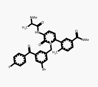 CNC(=O)c1ccc(C)c(-c2ccc(NC(=O)C(C)NC)c(=O)n2Cc2cc(C(=O)c3ccc(F)cc3)cc(C(C)C)c2)c1